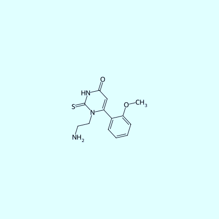 COc1ccccc1-c1cc(=O)[nH]c(=S)n1CCN